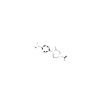 CC1CN(C(=O)O)CCN1c1ccc([N+](=O)[O-])nc1